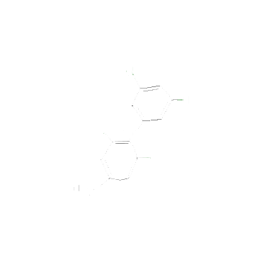 O=C(O)c1cc(Cl)cc(Cl)c1.O=C(O)c1cc(Cl)cc(Cl)c1